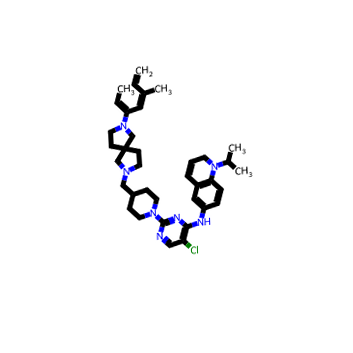 C=C/C(C)=C\C(=C/C)N1CCC2(CCN(CC3CCN(c4ncc(Cl)c(Nc5ccc6c(c5)C=CCN6C(C)C)n4)CC3)C2)C1